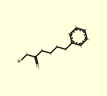 O=C(CBr)CCCCc1ccccc1